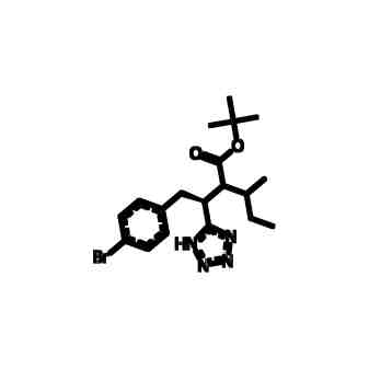 CCC(C)C(C(=O)OC(C)(C)C)[C@H](Cc1ccc(Br)cc1)c1nnn[nH]1